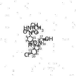 CC1(C)NC(=O)N(c2ccc(F)c(O[C@]3(F)c4cc(Cl)ccc4C[C@@H]3N3CC[C@@H](O)C3)c2)C1=O